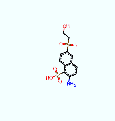 Nc1ccc2cc(S(=O)(=O)CCO)ccc2c1S(=O)(=O)O